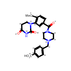 COc1ccc(C(=O)N2CCN(Cc3ccc(C(=O)O)cc3)CC2)cc1N1CCC(=O)NC1=O